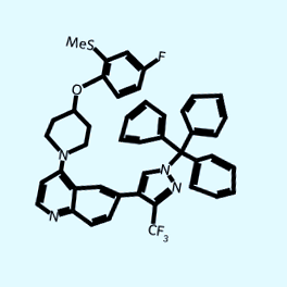 CSc1cc(F)ccc1OC1CCN(c2ccnc3ccc(-c4cn(C(c5ccccc5)(c5ccccc5)c5ccccc5)nc4C(F)(F)F)cc23)CC1